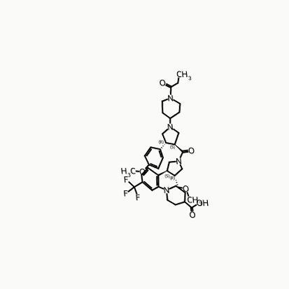 CCC(=O)N1CCC(N2C[C@@H](C(=O)N3C[C@H](COC)[C@@H](c4ccc(C(F)(F)F)cc4N4CCC(C(=O)O)CC4)C3)[C@H](c3ccc(OC)cc3)C2)CC1